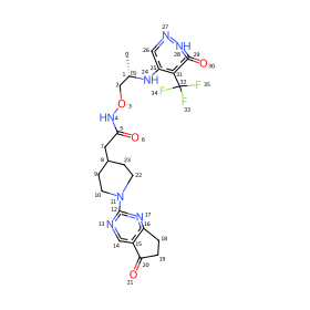 C[C@@H](CONC(=O)CC1CCN(c2ncc3c(n2)CCC3=O)CC1)Nc1cn[nH]c(=O)c1C(F)(F)F